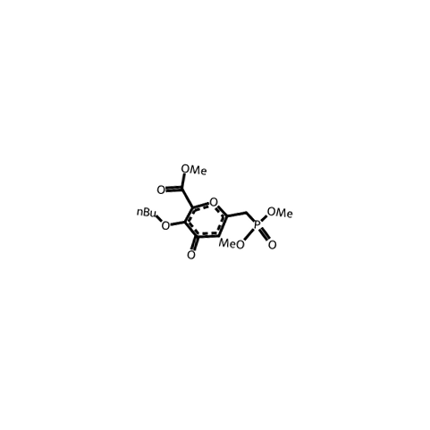 CCCCOc1c(C(=O)OC)oc(CP(=O)(OC)OC)cc1=O